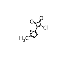 Cc1ccc(-c2c(Cl)c(=O)c2=O)s1